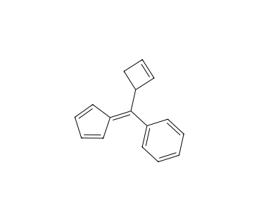 C1=CC(=C(c2ccccc2)C2C=CC2)C=C1